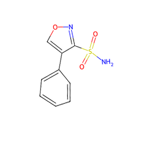 NS(=O)(=O)c1nocc1-c1ccccc1